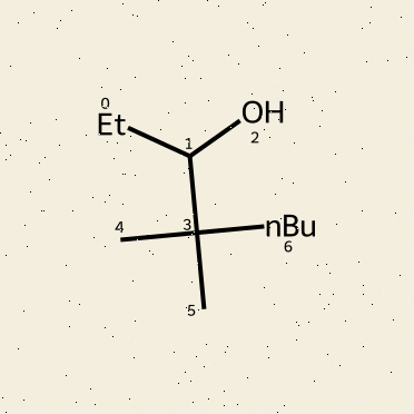 [CH2]CC(O)C(C)(C)CCCC